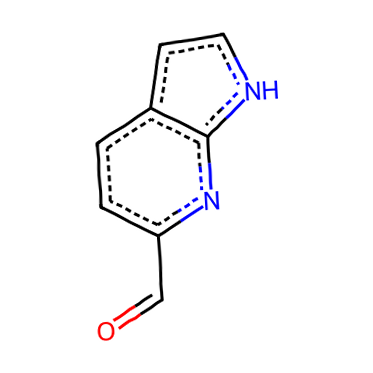 O=Cc1ccc2cc[nH]c2n1